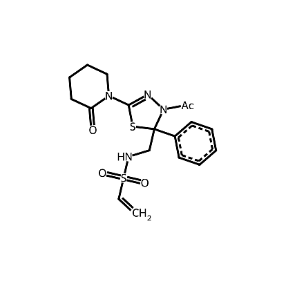 C=CS(=O)(=O)NCC1(c2ccccc2)SC(N2CCCCC2=O)=NN1C(C)=O